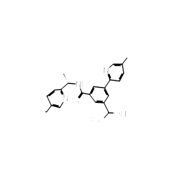 Cc1ccc(-c2cc(C(=O)N[C@H](C)c3ccc(Cl)cn3)cc(C(O)C(F)(F)F)c2)nc1